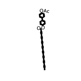 CC#CC#CC#CC#CC#CC#CC#CC#CC(=O)Oc1ccc(-c2ccc(OC(C)=O)cc2)cc1